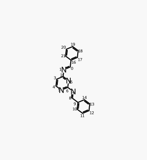 C(=Nc1ccnc(N=Cc2ccccc2)n1)c1ccccc1